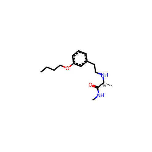 CCCCOc1cccc(CCN[C@H](C)C(=O)NC)c1